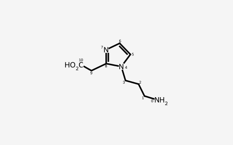 NCCCn1ccnc1CC(=O)O